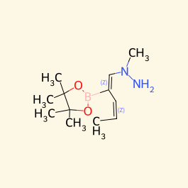 C/C=C\C(=C/N(C)N)B1OC(C)(C)C(C)(C)O1